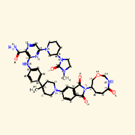 CN1CCN([C@@H]2CCCN(c3cnc(C(N)=O)c(Nc4ccc(C5(C)CCN(c6ccc7c(c6)C(=O)N(C6CCC(=O)NCOC6)C7=O)CC5)cc4)n3)C2)C1=O